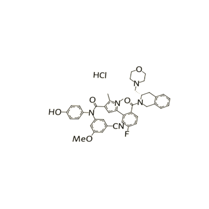 COc1cc(C#N)cc(N(C(=O)c2cc(-c3cc(F)ccc3C(=O)N3Cc4ccccc4C[C@H]3CN3CCOCC3)n(C)c2C)c2ccc(O)cc2)c1.Cl